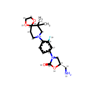 CC1(C)CN(c2ccc(N3C[C@H](CN)OC3=O)cc2F)CCC12OCCO2